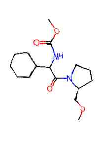 COC[C@@H]1CCCN1C(=O)C(NC(=O)OC)C1CCCCC1